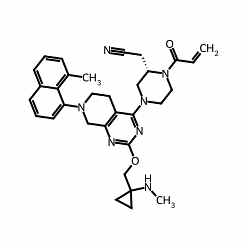 C=CC(=O)N1CCN(c2nc(OCC3(NC)CC3)nc3c2CCN(c2cccc4cccc(C)c24)C3)C[C@@H]1CC#N